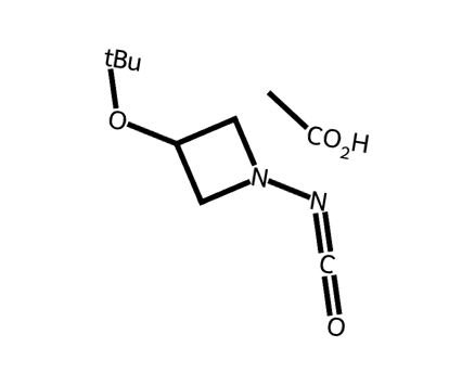 CC(=O)O.CC(C)(C)OC1CN(N=C=O)C1